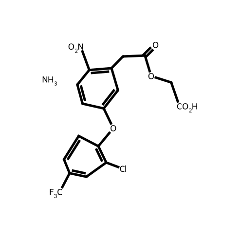 N.O=C(O)COC(=O)Cc1cc(Oc2ccc(C(F)(F)F)cc2Cl)ccc1[N+](=O)[O-]